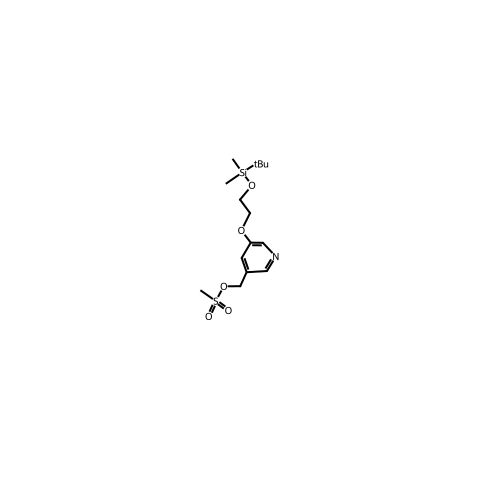 CC(C)(C)[Si](C)(C)OCCOc1cncc(COS(C)(=O)=O)c1